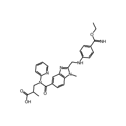 CCOC(=N)c1ccc(NCc2nc3cc(C(=O)N(CC(C)C(=O)O)c4ccccn4)ccc3n2C)cc1